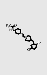 O=C(N[C@H]1CC[C@H](CCN2CCC(Cc3cc(Cl)ccc3Br)CC2)CC1)C(F)(F)F